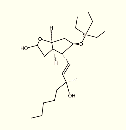 CCCCC[C@](C)(O)C=C[C@@H]1[C@H]2CC(O)O[C@H]2C[C@H]1O[Si](CC)(CC)CC